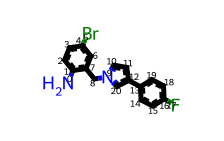 Nc1ccc(Br)cc1Cn1ccc(-c2ccc(F)cc2)c1